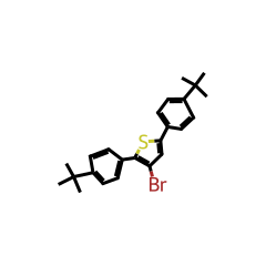 CC(C)(C)c1ccc(-c2cc(Br)c(-c3ccc(C(C)(C)C)cc3)s2)cc1